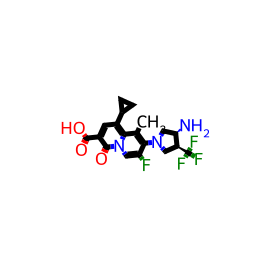 Cc1c(N2C[C@H](N)[C@@H](C(F)(F)F)C2)c(F)cn2c(=O)c(C(=O)O)cc(C3CC3)c12